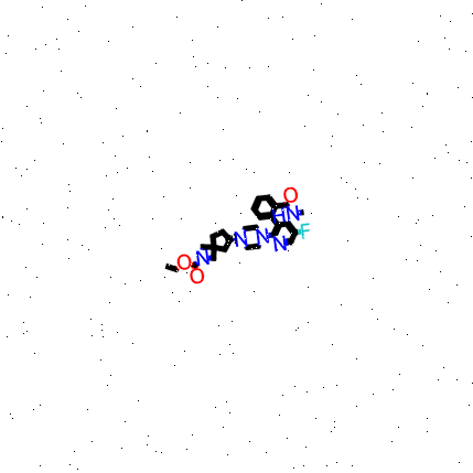 CCOC(=O)N1CC2(CC[C@@H](N3CCN(c4ncc(F)cc4-c4ccccc4C(=O)NC)CC3)C2)C1